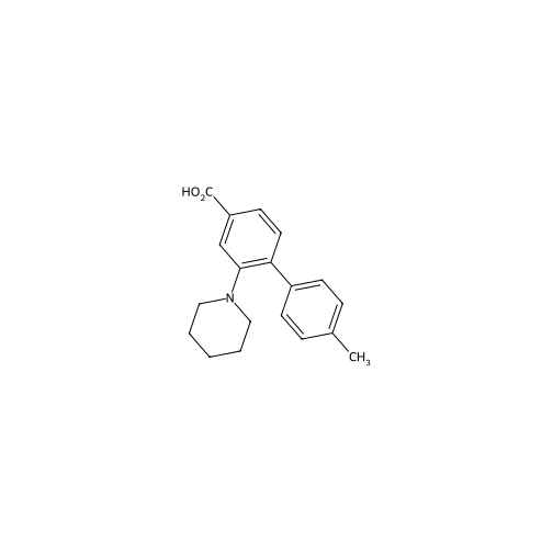 Cc1ccc(-c2ccc(C(=O)O)cc2N2CCCCC2)cc1